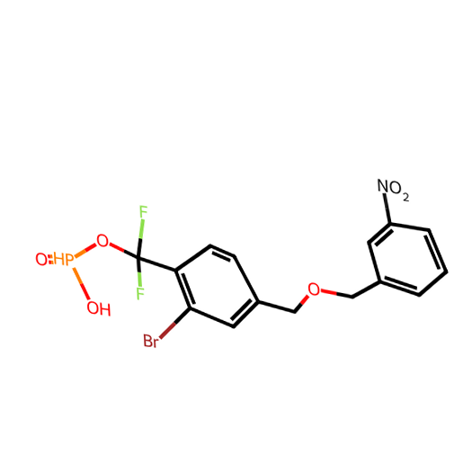 O=[N+]([O-])c1cccc(COCc2ccc(C(F)(F)O[PH](=O)O)c(Br)c2)c1